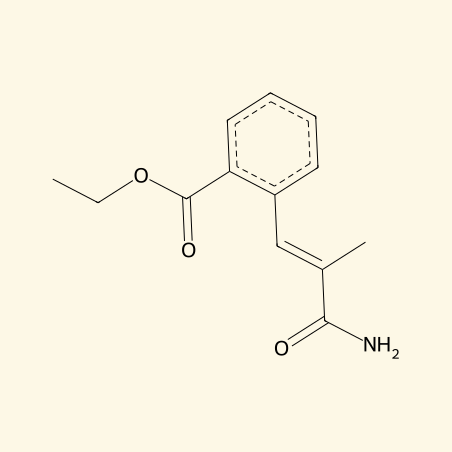 CCOC(=O)c1ccccc1C=C(C)C(N)=O